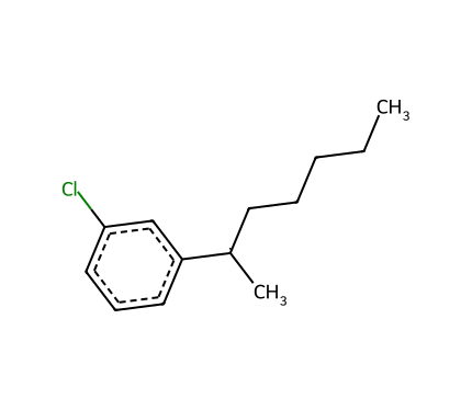 CCCCC[C](C)c1cccc(Cl)c1